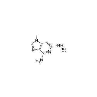 CCNc1cc2c(ncn2C)c(N)n1